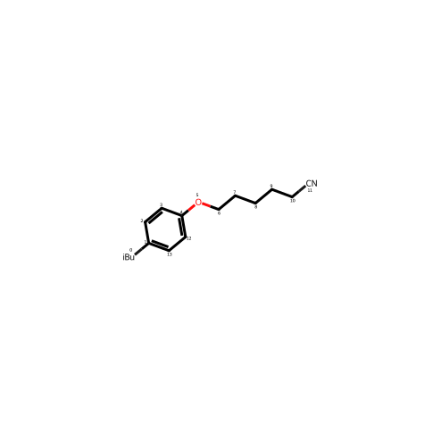 CCC(C)c1ccc(OCCCCCC#N)cc1